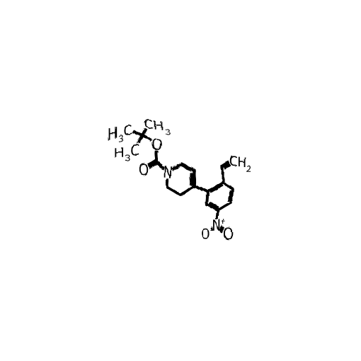 C=Cc1ccc([N+](=O)[O-])cc1C1=CCN(C(=O)OC(C)(C)C)CC1